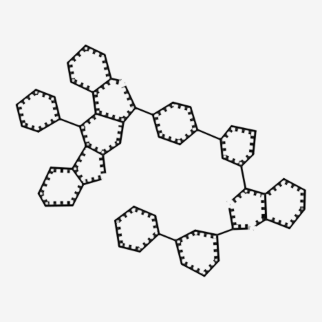 c1ccc(-c2cccc(-c3nc(-c4cccc(-c5ccc(-c6nc7ccccc7c7c(-c8ccccc8)c8c(cc67)oc6ccccc68)cc5)c4)c4ccccc4n3)c2)cc1